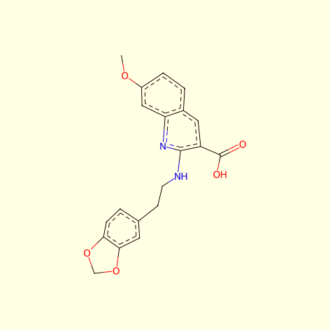 COc1ccc2cc(C(=O)O)c(NCCc3ccc4c(c3)OCO4)nc2c1